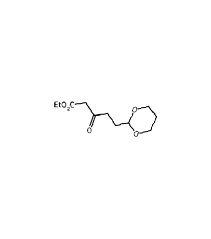 CCOC(=O)CC(=O)CCC1OCCCO1